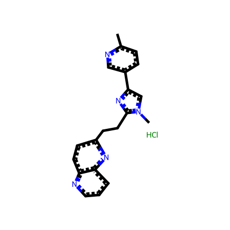 Cc1ccc(-c2cn(C)c(CCc3ccc4ncccc4n3)n2)cn1.Cl